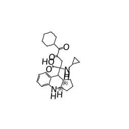 O=C(CC(NC1CC1)(C(=O)O)C1c2ccccc2N[C@@H]2CCC[C@H]12)C(=O)C1CCCCC1